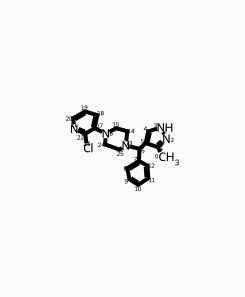 Cc1n[nH]cc1C(c1ccccc1)N1CCN(c2cccnc2Cl)CC1